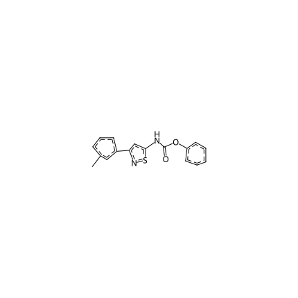 Cc1cccc(-c2cc(NC(=O)Oc3ccccc3)sn2)c1